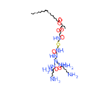 CCCCCCCC/C=C\CCCCCCCC(=O)OC[C@@H](CC)COC(=O)CCC(=O)NCCSSCCNC(=O)CNCCN(CCNC(=O)C(N)CCCCN)CCNC(=O)C(N)CCCCN